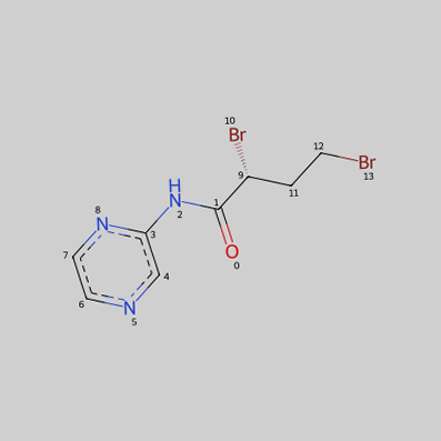 O=C(Nc1cnccn1)[C@H](Br)CCBr